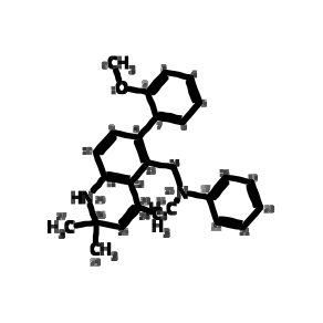 COc1ccccc1-c1ccc2c(c1CN(C)c1ccccc1)C(C)=CC(C)(C)N2